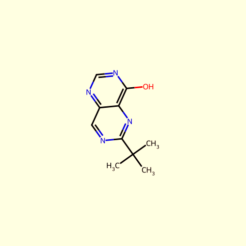 CC(C)(C)c1ncc2ncnc(O)c2n1